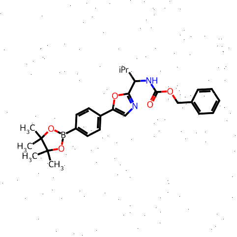 CC(C)C(NC(=O)OCc1ccccc1)c1ncc(-c2ccc(B3OC(C)(C)C(C)(C)O3)cc2)o1